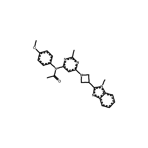 COc1ccc(N(C(C)=O)c2cc(N3CC(c4nc5ccccc5n4C)C3)nc(C)n2)cc1